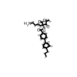 CCCc1ccc(-c2ccc(C(=O)NC(CCCCN)(C(=O)O)C(=O)CC)cc2)cc1